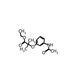 CCOC(=O)C(C)(C)Oc1cccc(NC(C)=O)c1